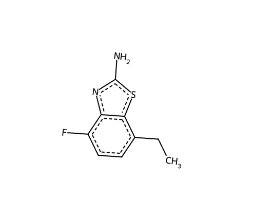 CCc1ccc(F)c2nc(N)sc12